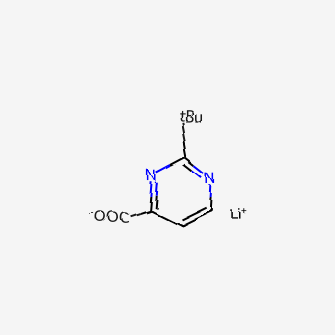 CC(C)(C)c1nccc(C(=O)[O-])n1.[Li+]